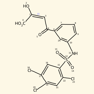 O=C(O)/C(O)=C\C(=O)c1cccc(NS(=O)(=O)c2cc(Cl)c(Cl)cc2Cl)c1